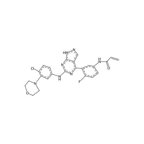 C=CC(=O)Nc1ccc(F)c(-c2nc(Nc3ccc(Cl)c(N4CCOCC4)c3)nc3[nH]ncc23)c1